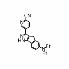 CCN(CC)c1ccc2c(c1)Cc1c(-c3ccc(C#N)nc3)n[nH]c1-2